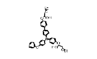 CCOCC(O)Oc1ccc(-c2ccc(N(c3ccc(Oc4ccccc4)cc3)c3ccc(OC(O)COCC)cc3)cc2)cc1